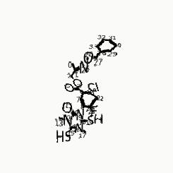 CC(COC(=O)c1cc(N2C(=O)N(C)C(S)N(C)C2S)c(F)cc1Cl)=NOCc1ccccc1